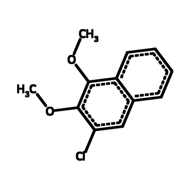 COc1c(Cl)cc2ccccc2c1OC